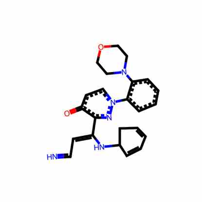 N=C/C=C(\NC1C=CC=CC1)c1nn(-c2ccccc2N2CCOCC2)ccc1=O